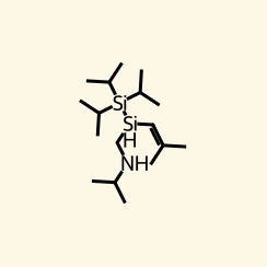 CC(C)=C[SiH](CNC(C)C)[Si](C(C)C)(C(C)C)C(C)C